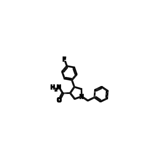 NC(=O)C1CN(Cc2ccccc2)CC1c1ccc(F)cc1